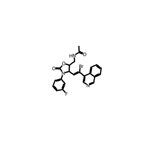 CC(=O)NCC1OC(=O)N(c2cccc(F)c2)C1C=C(Br)c1cncc2ccccc12